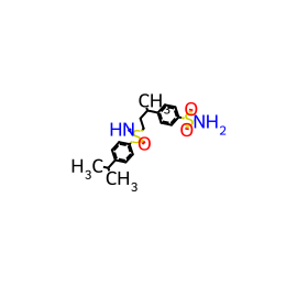 CC(C)c1ccc(S(=N)(=O)CCC(C)c2ccc(S(N)(=O)=O)cc2)cc1